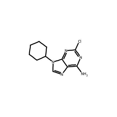 Nc1nc(Cl)nc2c1ncn2C1CCCCC1